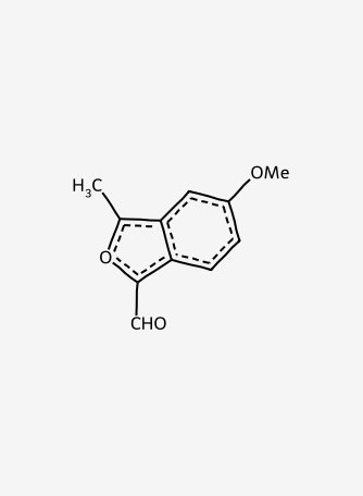 COc1ccc2c(C=O)oc(C)c2c1